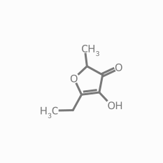 CCC1=C(O)C(=O)C(C)O1